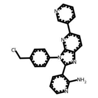 Nc1ncccc1-c1nc2ccc(-c3cccnc3)nc2n1-c1ccc(CCl)cc1